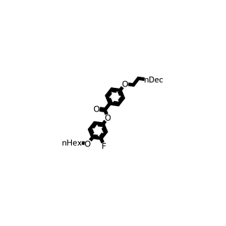 CCCCCCCCCCCCOc1ccc(C(=O)Oc2ccc(OCCCCCC)c(F)c2)cc1